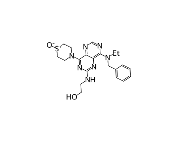 CCN(Cc1ccccc1)c1ncnc2c(N3CC[S+]([O-])CC3)nc(NCCO)nc12